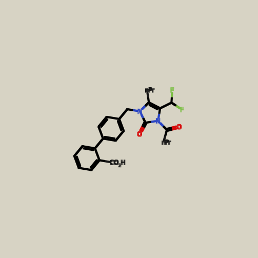 CCCC(=O)n1c(C(F)F)c(CCC)n(Cc2ccc(-c3ccccc3C(=O)O)cc2)c1=O